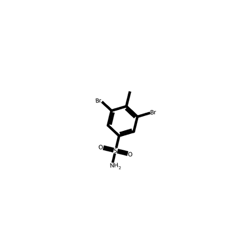 Cc1c(Br)cc(S(N)(=O)=O)cc1Br